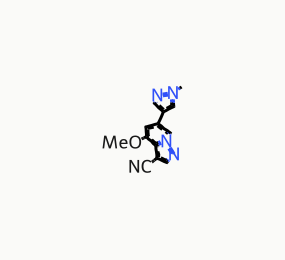 COc1cc(-c2cnn(C)c2)cn2ncc(C#N)c12